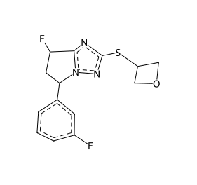 Fc1cccc(C2CC(F)c3nc(SC4COC4)nn32)c1